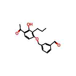 CCCc1c(OCc2cccc(C=O)c2)ccc(C(C)=O)c1O